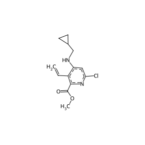 C=Cc1c(NCC2CC2)cc(Cl)nc1C(=O)OC